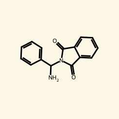 NC(c1ccccc1)N1C(=O)c2ccccc2C1=O